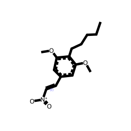 CCCCCc1c(OC)cc(/C=C/[N+](=O)[O-])cc1OC